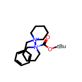 CC(C)(C)OC(=O)[N+]1([N+]2(Cc3ccccc3)CCCCC2)CCCCC1